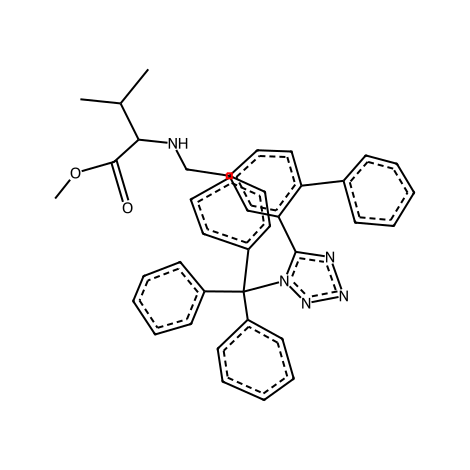 COC(=O)C(NCc1ccc(-c2ccccc2)c(-c2nnnn2C(c2ccccc2)(c2ccccc2)c2ccccc2)c1)C(C)C